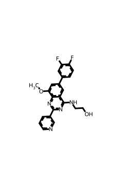 COc1cc(-c2ccc(F)c(F)c2)cc2c(NCCO)nc(-c3cccnc3)nc12